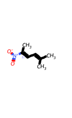 CC(C)=C/C=C(\C)[N+](=O)[O-]